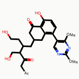 COc1ncc(-c2ccc(O)c3c2CC(CC(CCO)C(CO)C(=O)CC(C)=O)CC3=O)c(OC)n1